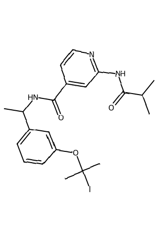 CC(C)C(=O)Nc1cc(C(=O)NC(C)c2cccc(OC(C)(C)I)c2)ccn1